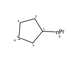 [CH2]CCC1CCSC1